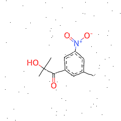 Cc1cc(C(=O)C(C)(C)O)cc([N+](=O)[O-])c1